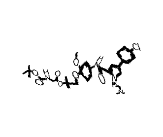 COc1cc(NC(=O)c2cc(-c3ccc(Cl)cc3)cn2N=CN(C)C)ccc1OCC(C)(C)OC(=O)CNC(=O)OC(C)(C)C